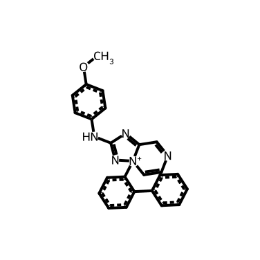 COc1ccc(NC2=N[N+]3(c4ccccc4-c4ccccc4)C=CN=CC3=N2)cc1